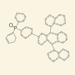 O=P(C1=CC=CCC1)(c1ccccc1)c1ccc(-c2ccc3c(-c4cccc5ccccc45)c4ccccc4c(-c4cccc5ccccc45)c3c2)cc1